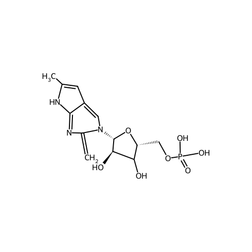 C=C1N=c2[nH]c(C)cc2=CN1[C@@H]1O[C@H](COP(=O)(O)O)C(O)[C@H]1O